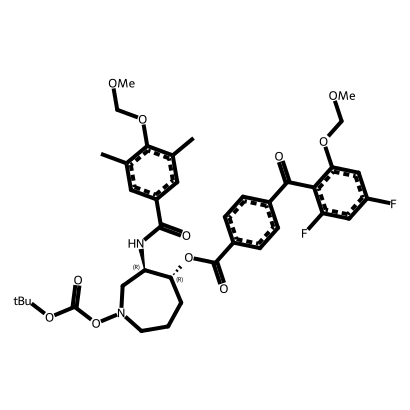 COCOc1cc(F)cc(F)c1C(=O)c1ccc(C(=O)O[C@@H]2CCCN(OC(=O)OC(C)(C)C)C[C@H]2NC(=O)c2cc(C)c(OCOC)c(C)c2)cc1